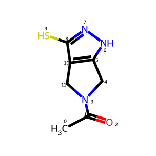 CC(=O)N1Cc2[nH]nc(S)c2C1